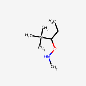 CCC(ONC)[Si](C)(C)C